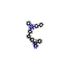 c1ccc(-c2ccc(-c3nc(-c4ccccc4)nc(-c4ccc(-c5cccc(-c6ccc(-c7nc8cnccc8c8c7sc7ccccc78)cc6)c5)cc4)n3)cc2)cc1